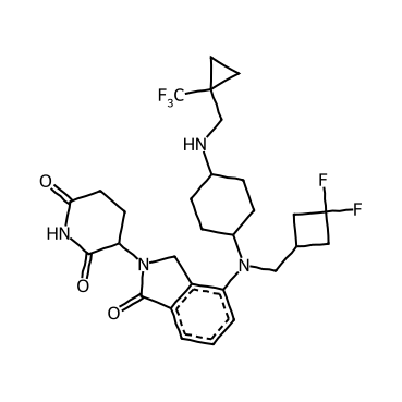 O=C1CCC(N2Cc3c(cccc3N(CC3CC(F)(F)C3)C3CCC(NCC4(C(F)(F)F)CC4)CC3)C2=O)C(=O)N1